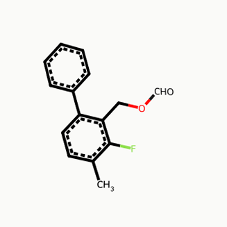 Cc1ccc(-c2ccccc2)c(COC=O)c1F